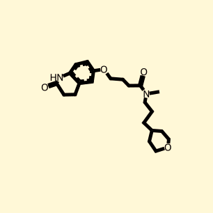 CN(CCCC1CCOCC1)C(=O)CCCOc1ccc2c(c1)CCC(=O)N2